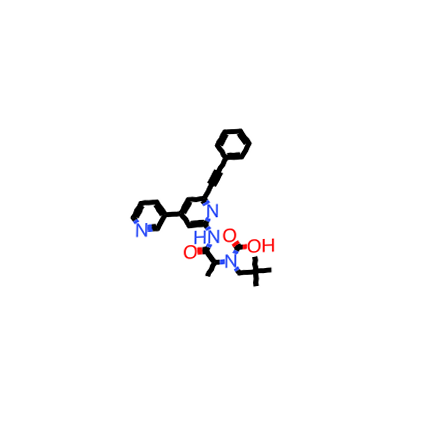 CC(C(=O)Nc1cc(-c2cccnc2)cc(C#Cc2ccccc2)n1)N(CC(C)(C)C)C(=O)O